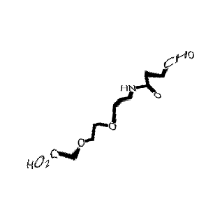 O=CCCC(=O)NCCOCCOCC(=O)O